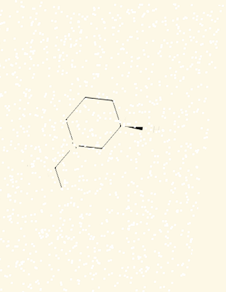 C[C@@H](I)N1CCC[C@@H](O)C1